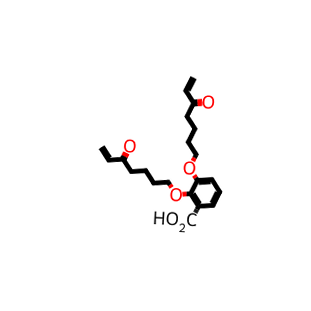 C=CC(=O)CCCCOc1cccc(C(=O)O)c1OCCCCC(=O)C=C